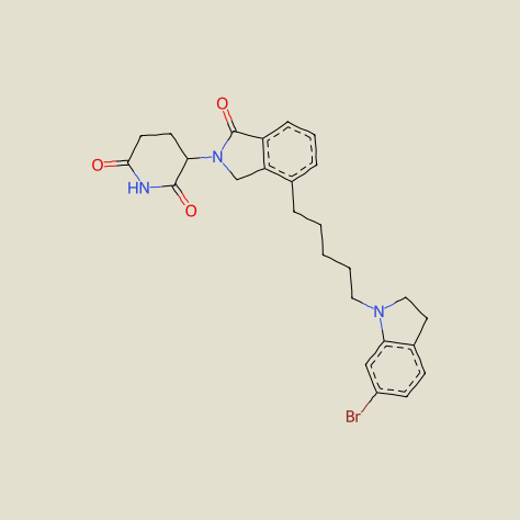 O=C1CCC(N2Cc3c(CCCCCN4CCc5ccc(Br)cc54)cccc3C2=O)C(=O)N1